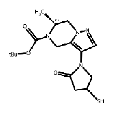 C[C@H]1Cn2ncc(N3CC(S)CC3=O)c2CN1C(=O)OC(C)(C)C